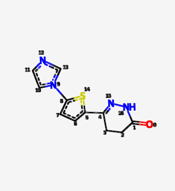 O=C1CCC(c2ccc(-n3ccnc3)s2)=NN1